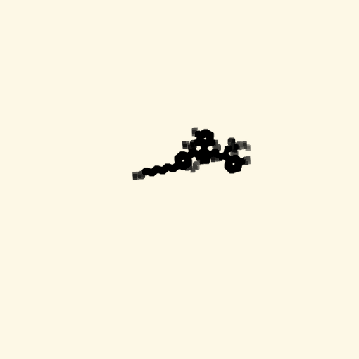 Cc1c(F)ccc(F)c1-c1c(C(=O)N[C@@H](CS(C)(=O)=O)c2cccc(Cl)c2)cn(C)c1C(=O)c1ccc(CCCCCCO)cc1